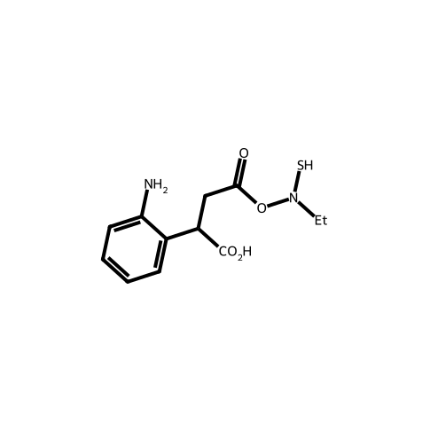 CCN(S)OC(=O)CC(C(=O)O)c1ccccc1N